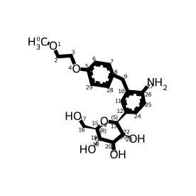 COCCOc1ccc(Cc2cc([C@@H]3O[C@H](CO)[C@@H](O)C(O)[C@H]3O)ccc2N)cc1